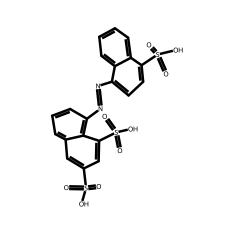 O=S(=O)(O)c1cc(S(=O)(=O)O)c2c(/N=N/c3ccc(S(=O)(=O)O)c4ccccc34)cccc2c1